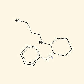 OCCCNC1CCCC/C1=C/c1ccccc1